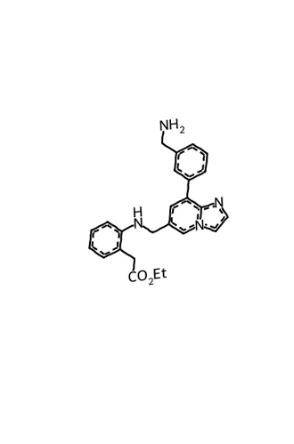 CCOC(=O)Cc1ccccc1NCc1cc(-c2cccc(CN)c2)c2nccn2c1